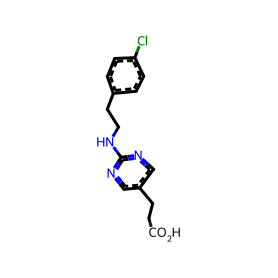 O=C(O)CCc1cnc(NCCc2ccc(Cl)cc2)nc1